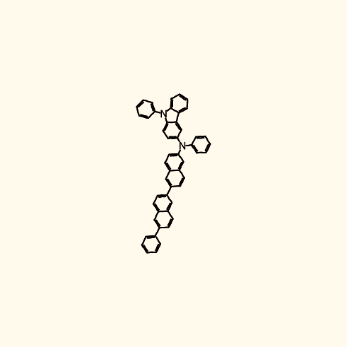 c1ccc(-c2ccc3cc(-c4ccc5cc(N(c6ccccc6)c6ccc7c(c6)c6ccccc6n7-c6ccccc6)ccc5c4)ccc3c2)cc1